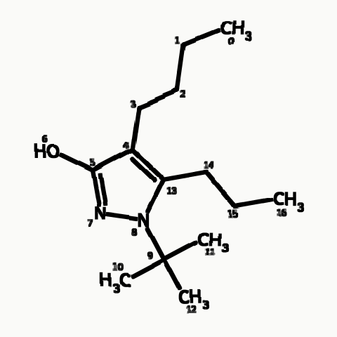 CCCCc1c(O)nn(C(C)(C)C)c1CCC